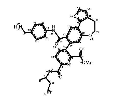 COC(=O)c1nc(C(=O)NC(C)CC(C)C)ccc1-c1cc2c(cc1C(=O)Nc1ccc(CN)cc1)-c1sccc1CCO2